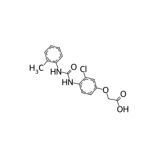 Cc1ccccc1NC(=O)Nc1ccc(OCC(=O)O)cc1Cl